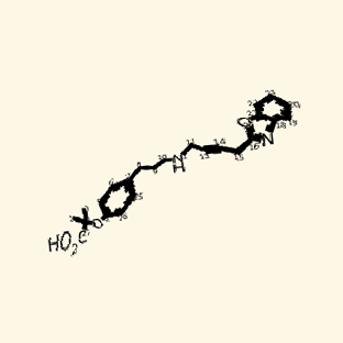 CC(C)(Oc1ccc(CCCNCC#CCc2nc3ccccc3o2)cc1)C(=O)O